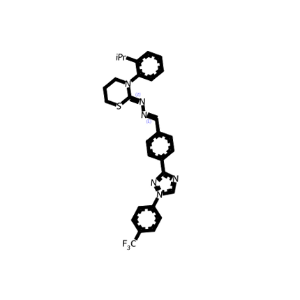 CC(C)c1ccccc1N1CCCS/C1=N\N=C\c1ccc(-c2ncn(-c3ccc(C(F)(F)F)cc3)n2)cc1